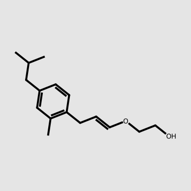 Cc1cc(CC(C)C)ccc1C/C=C/OCCO